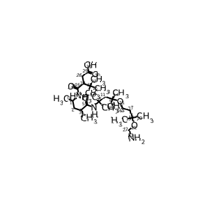 CC(CC(C)C(=O)NC(C)(C)CC(C)(C)OCCC(C)(C)OCN)NC(=O)C(CC(=O)O)C(C)(C)C